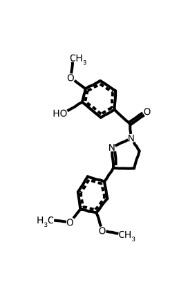 COc1ccc(C(=O)N2CCC(c3ccc(OC)c(OC)c3)=N2)cc1O